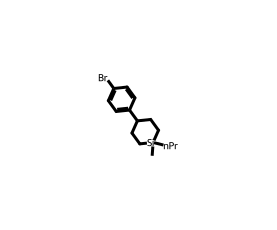 CCC[Si]1(C)CCC(c2ccc(Br)cc2)CC1